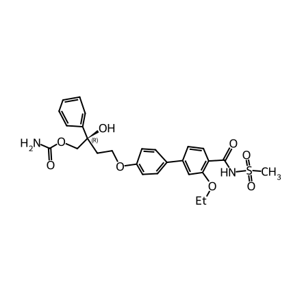 CCOc1cc(-c2ccc(OCC[C@](O)(COC(N)=O)c3ccccc3)cc2)ccc1C(=O)NS(C)(=O)=O